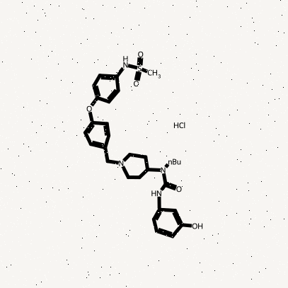 CCCCN(C(=O)Nc1cccc(O)c1)C1CCN(Cc2ccc(Oc3ccc(NS(C)(=O)=O)cc3)cc2)CC1.Cl